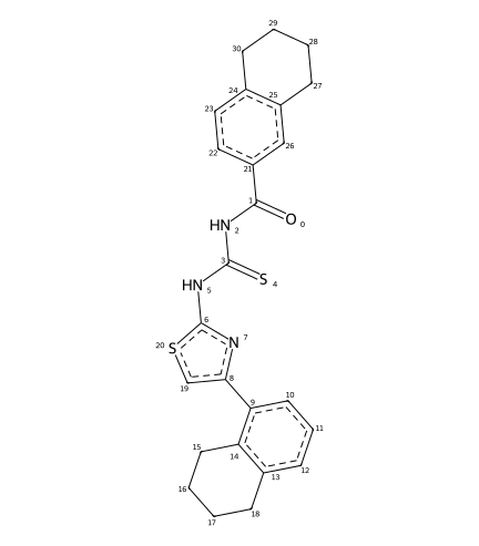 O=C(NC(=S)Nc1nc(-c2cccc3c2CCCC3)cs1)c1ccc2c(c1)CCCC2